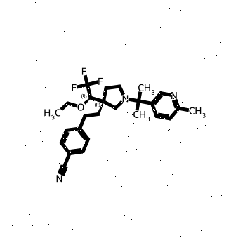 CCO[C@@H](C(F)(F)F)[C@]1(CCc2ccc(C#N)cc2)CCN(C(C)(C)c2ccc(C)nc2)C1